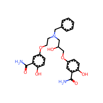 NC(=O)c1cc(OCCN(Cc2ccccc2)CC(O)COc2ccc(O)c(C(N)=O)c2)ccc1O